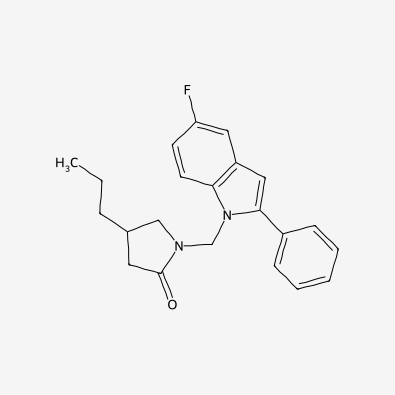 CCCC1CC(=O)N(Cn2c(-c3ccccc3)cc3cc(F)ccc32)C1